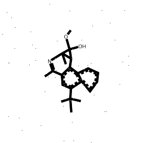 COC1(O)C2c3c(cc(C(C)(C)C)c4ccccc34)C(C)=NC21C